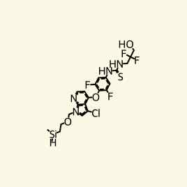 C[SiH](C)CCOCn1cc(Cl)c2c(Oc3c(F)cc(NC(=S)NCC(F)(F)CO)cc3F)ccnc21